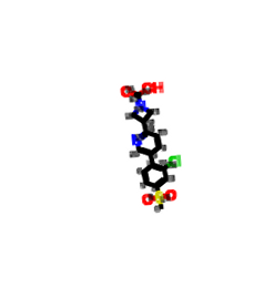 CS(=O)(=O)c1ccc(-c2ccc(C3CN(C(=O)O)C3)nc2)c(Cl)c1